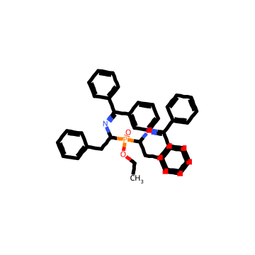 CCOP(=O)(C(Cc1ccccc1)N=C(c1ccccc1)c1ccccc1)C(Cc1ccccc1)N=C(c1ccccc1)c1ccccc1